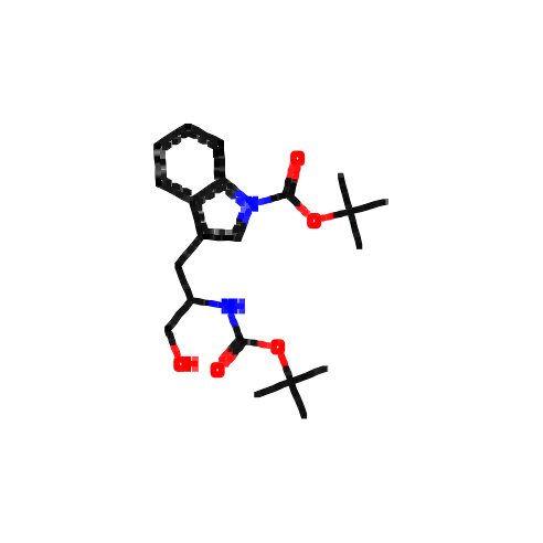 CC(C)(C)OC(=O)NC(CO)Cc1cn(C(=O)OC(C)(C)C)c2ccccc12